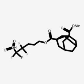 COC(=O)C12CC3CC(C1)CC(C(=O)OCCCC(F)(F)C(F)(F)[SH](=O)=O)(C3)C2